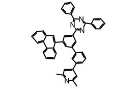 Cc1cc(-c2cccc(-c3cc(-c4nc(-c5ccccc5)nc(-c5ccccc5)n4)cc(-c4cc5ccccc5c5ccccc45)c3)c2)cc(C)n1